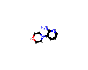 Nc1ncccc1N1CCOCC1